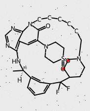 C[C@H]1Nc2ncnc3c2cc(N2CCS(=O)(=O)CC2)c(=O)n3CCCCCCN2CCC(CC2)C(F)(F)c2cccc1c2